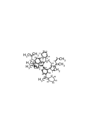 C=CC1=C(N=C(C)/C=C\C)CCC2c3ccccc3-c3cc(CC(C)C)c([Si](C)(C)C)c[n+]3C2C(=C)[n+]2ccc(C(C)C3CCCCC3)cc21